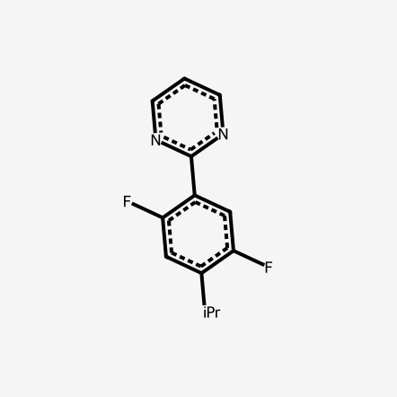 CC(C)c1cc(F)c(-c2ncccn2)cc1F